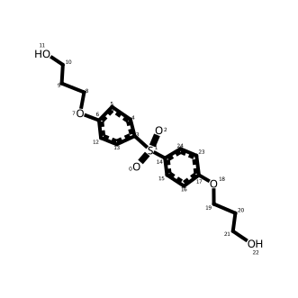 O=S(=O)(c1ccc(OCCCO)cc1)c1ccc(OCCCO)cc1